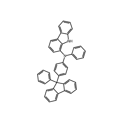 c1ccc(N(c2ccc(C3(c4ccccc4)c4ccccc4-c4ccccc43)cc2)c2cccc3c2[nH]c2ccccc23)cc1